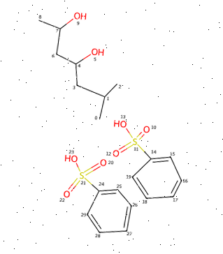 CC(C)CC(O)CC(C)O.O=S(=O)(O)c1ccccc1.O=S(=O)(O)c1ccccc1